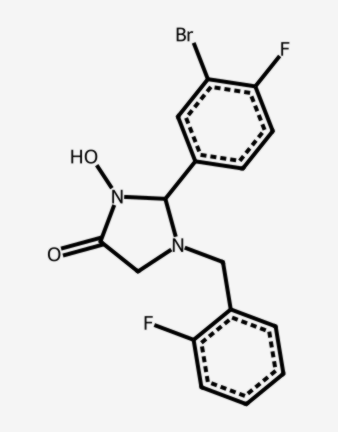 O=C1CN(Cc2ccccc2F)C(c2ccc(F)c(Br)c2)N1O